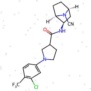 N#CN1[C@H]2CC[C@@H]1[C@H](NC(=O)C1CCN(c3ccc(C(F)(F)F)c(Cl)c3)C1)C2